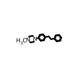 CN1CCN(c2ccc(CCc3c[c]ccc3)cc2)CC1